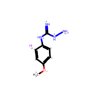 COc1ccc(NC(=N)NN)cc1.I